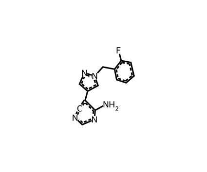 Nc1ncncc1-c1cnn(Cc2ccccc2F)c1